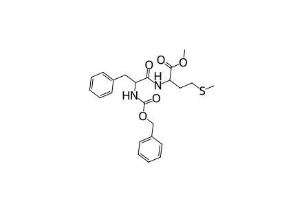 COC(=O)C(CCSC)NC(=O)C(Cc1ccccc1)NC(=O)OCc1ccccc1